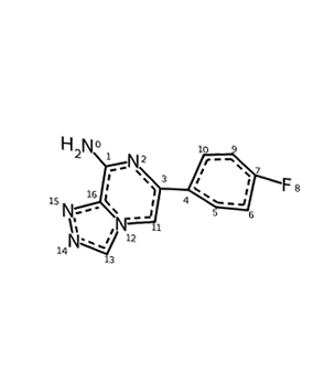 Nc1nc(-c2ccc(F)cc2)cn2cnnc12